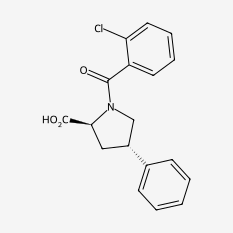 O=C(O)[C@@H]1C[C@@H](c2ccccc2)CN1C(=O)c1ccccc1Cl